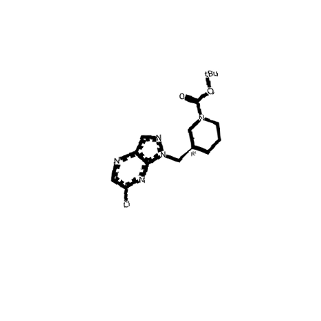 CC(C)(C)OC(=O)N1CCC[C@@H](Cn2ncc3ncc(Cl)nc32)C1